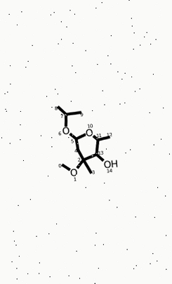 COC1(C)CC(OC(C)C)OC(C)C1O